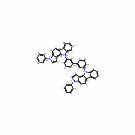 c1ccc(-n2ccc3c2ccc2c4ccccc4n(-c4cccc(-c5cccc(-n6c7ccccc7c7ccc8c(ccn8-c8ccccc8)c76)c5)c4)c23)cc1